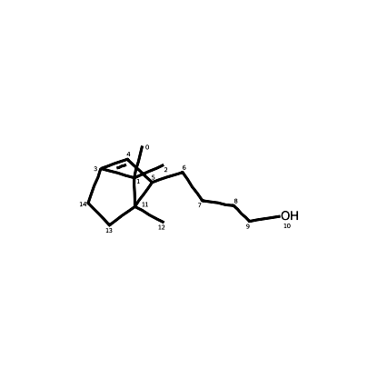 CC1(C)C2=CC(CCCCO)C1(C)CC2